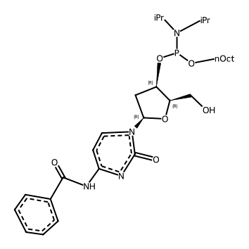 CCCCCCCCOP(O[C@@H]1C[C@H](n2ccc(NC(=O)c3ccccc3)nc2=O)O[C@@H]1CO)N(C(C)C)C(C)C